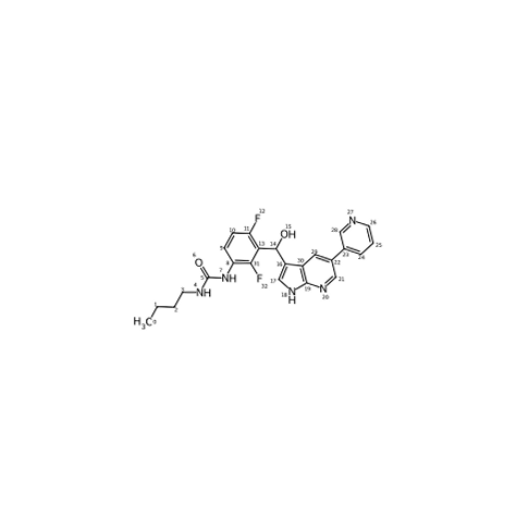 CCCCNC(=O)Nc1ccc(F)c(C(O)c2c[nH]c3ncc(-c4cccnc4)cc23)c1F